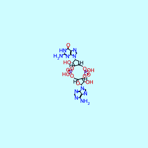 Nc1nc2c(ncn2[C@@H]2C[C@@H]3COP(=O)(O)O[C@@H]4C(O)[C@H](n5cnc6c(N)ncnc65)O[C@@H]4COP(=O)(O)O[C@@H]3[C@@H]2O)c(=O)[nH]1